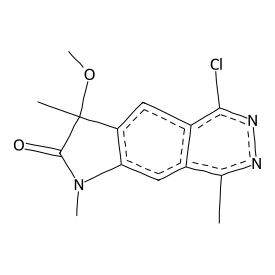 COC1(C)C(=O)N(C)c2cc3c(C)nnc(Cl)c3cc21